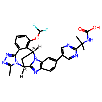 Cc1nnc2n1[C@@H]1C[C@H](c3c(OC(F)F)cccc3-2)n2c1nc1ccc(-c3cnc(C(C)(C)NC(=O)O)nc3)cc12